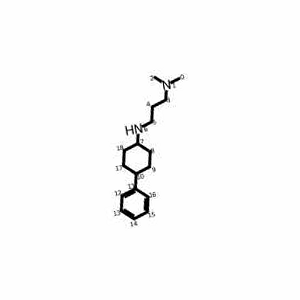 CN(C)CCCNC1CCC(c2ccccc2)CC1